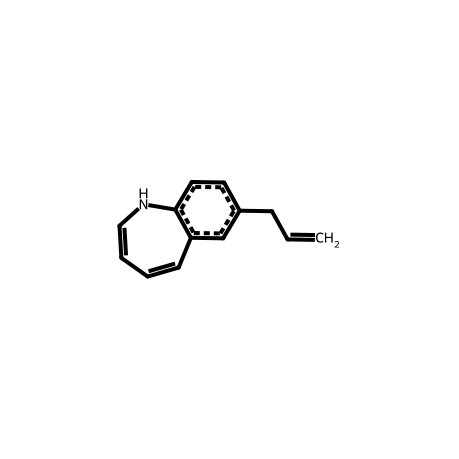 C=CCc1ccc2c(c1)C=CC=CN2